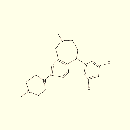 CN1CCN(c2ccc3c(c2)CN(C)CCC3c2cc(F)cc(F)c2)CC1